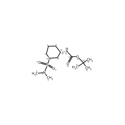 CN(C)S(=O)(=O)N1CCC[C@H](NC(=O)OC(C)(C)C)C1